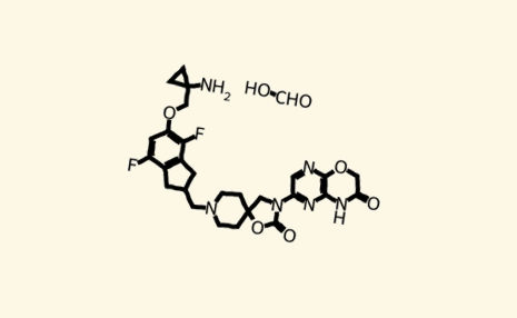 NC1(COc2cc(F)c3c(c2F)CC(CN2CCC4(CC2)CN(c2cnc5c(n2)NC(=O)CO5)C(=O)O4)C3)CC1.O=CO